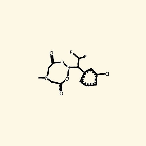 CN1CC(=O)OB(C(c2cccc(Cl)c2)C(F)F)OC(=O)C1